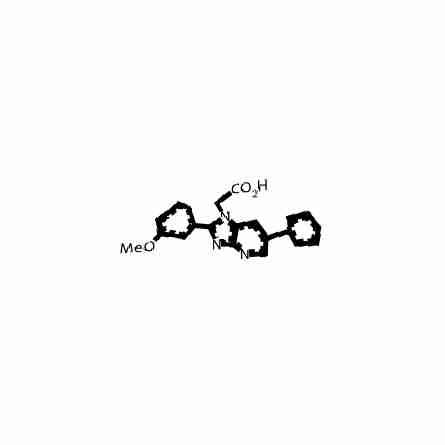 COc1cccc(-c2nc3ncc(-c4ccccc4)cc3n2CC(=O)O)c1